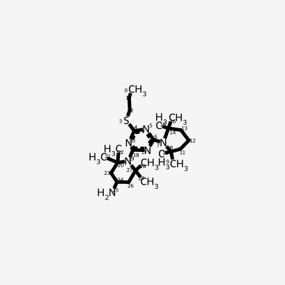 CCCSc1nc(N2C(C)(C)CCCC2(C)C)nc(N2C(C)(C)CC(N)CC2(C)C)n1